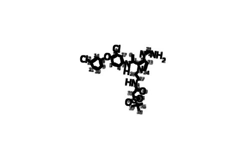 C=C(Nc1ccc(Oc2cccc(Cl)c2)c(Cl)c1)c1c(/N=C\N)ccn1CCNC(=O)CS(=O)(=O)C(C)(C)C